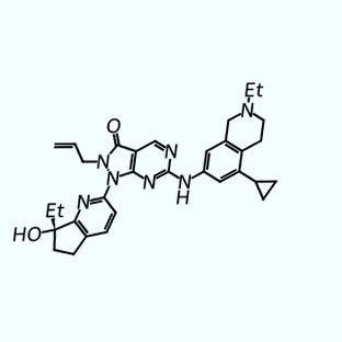 C=CCn1c(=O)c2cnc(Nc3cc4c(c(C5CC5)c3)CCN(CC)C4)nc2n1-c1ccc2c(n1)[C@](O)(CC)CC2